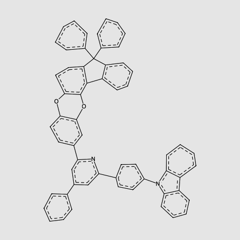 c1ccc(-c2cc(-c3ccc(-n4c5ccccc5c5ccccc54)cc3)nc(-c3ccc4c(c3)Oc3c(ccc5c3-c3ccccc3C5(c3ccccc3)c3ccccc3)O4)c2)cc1